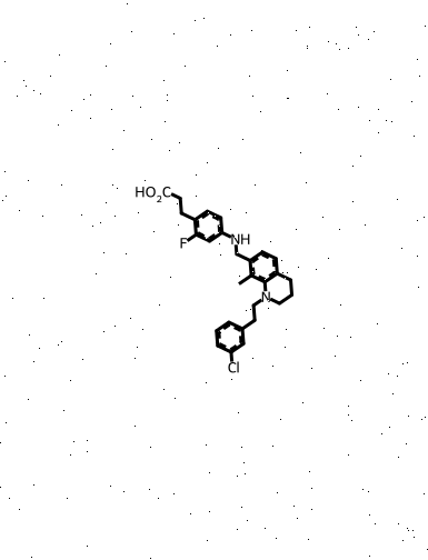 Cc1c(CNc2ccc(CCC(=O)O)c(F)c2)ccc2c1N(CCc1cccc(Cl)c1)CCC2